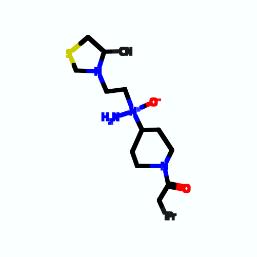 CC(C)CC(=O)N1CCC([N+](N)([O-])CCN2CSCC2C#N)CC1